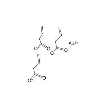 C=CCC(=O)[O-].C=CCC(=O)[O-].C=CCC(=O)[O-].[Au+3]